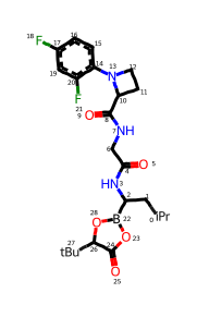 CC(C)CC(NC(=O)CNC(=O)C1CCN1c1ccc(F)cc1F)B1OC(=O)C(C(C)(C)C)O1